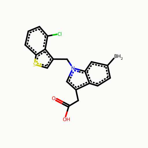 Bc1ccc2c(CC(=O)O)cn(Cc3csc4cccc(Cl)c34)c2c1